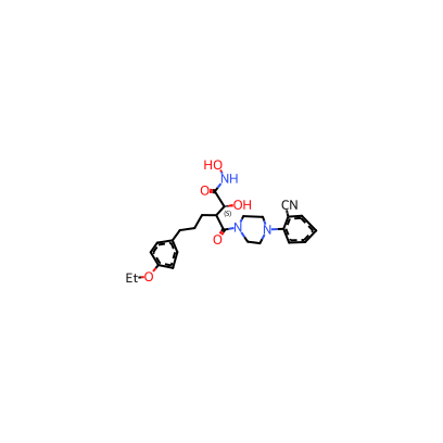 CCOc1ccc(CCCC(C(=O)N2CCN(c3ccccc3C#N)CC2)[C@H](O)C(=O)NO)cc1